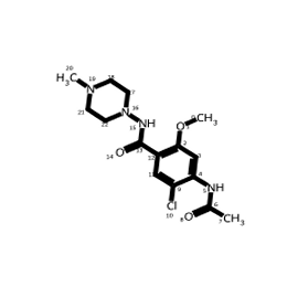 COc1cc(NC(C)=O)c(Cl)cc1C(=O)NN1CCN(C)CC1